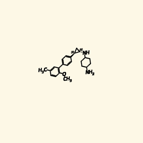 COc1ccc(C)cc1-c1ccc([C@H]2C[C@@H]2NC2CCC(N)CC2)cc1